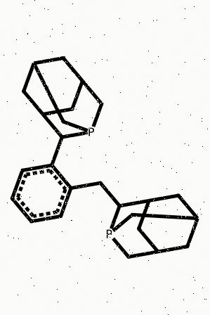 c1ccc(C2C3CC4CC(C3)CP2C4)c(CC2C3CC4CC(C3)CP2C4)c1